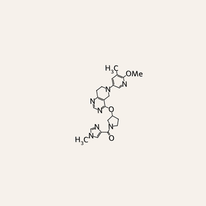 COc1ncc(N2CCc3ncnc(OC4CCN(C(=O)c5cn(C)cn5)C4)c3C2)cc1C